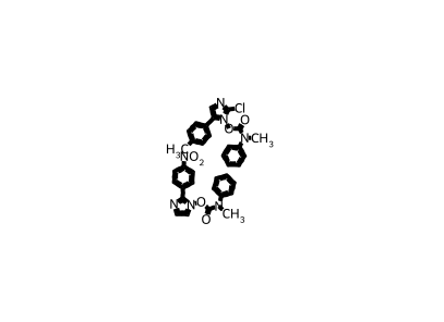 CN(C(=O)On1ccnc1-c1ccc([N+](=O)[O-])cc1)c1ccccc1.Cc1ccc(-c2cnc(Cl)n2OC(=O)N(C)c2ccccc2)cc1